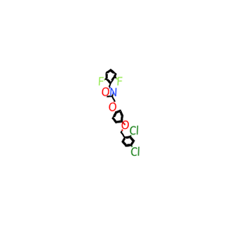 Fc1cccc(F)c1C1=NC(COc2ccc(OCc3ccc(Cl)cc3Cl)cc2)CO1